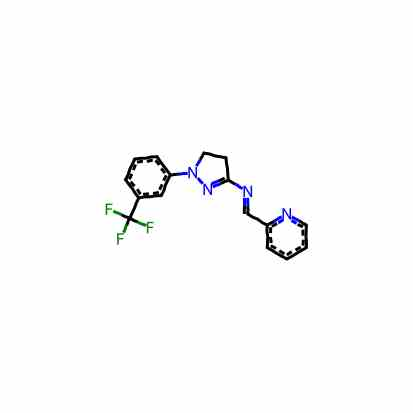 FC(F)(F)c1cccc(N2CCC(N=Cc3ccccn3)=N2)c1